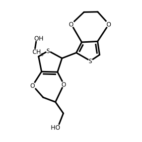 CO.OCC1COC2=C(O1)C(c1scc3c1OCCO3)SC2